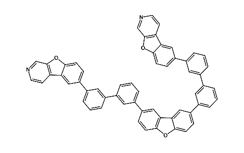 c1cc(-c2cccc(-c3ccc4oc5ccc(-c6cccc(-c7cccc(-c8ccc9oc%10cnccc%10c9c8)c7)c6)cc5c4c3)c2)cc(-c2ccc3oc4cnccc4c3c2)c1